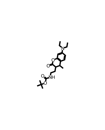 CCN(CC)c1ccc2c(c1)OC(=O)C(CCNC(=O)OC(C)(C)C)C2C